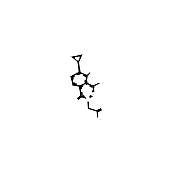 COC(=O)Cn1nc(Br)c2c(F)c(C3CC3)ccc2c1=O